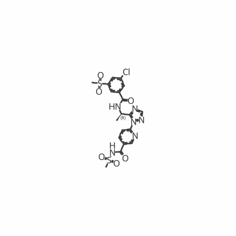 C[C@@H](NC(=O)c1cc(Cl)cc(S(C)(=O)=O)c1)c1ncnn1-c1ccc(C(=O)NS(C)(=O)=O)cn1